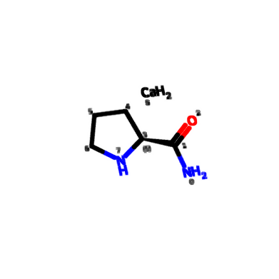 NC(=O)[C@@H]1CCCN1.[CaH2]